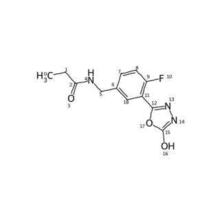 CCC(=O)NCc1ccc(F)c(-c2nnc(O)o2)c1